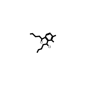 CCCCC(Cl)c1ccc(C)c(C)c1C(Cl)CCCC